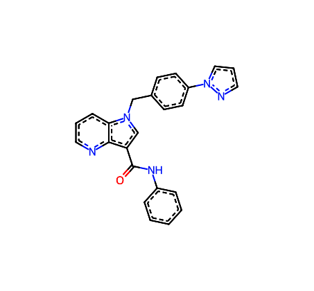 O=C(Nc1ccccc1)c1cn(Cc2ccc(-n3cccn3)cc2)c2cccnc12